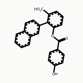 O=C(Oc1cccc(C(=O)O)c1-c1ccc2ccccc2c1)c1ccc(O)cc1